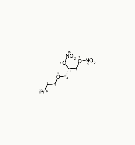 CC(C)CCOC[C@@H](CO[N+](=O)[O-])O[N+](=O)[O-]